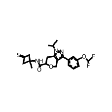 CC(C)n1nc(-c2cccc(OC(F)F)c2)c2c1CC(C(=O)NC1(C)CC(=S)C1)OC2